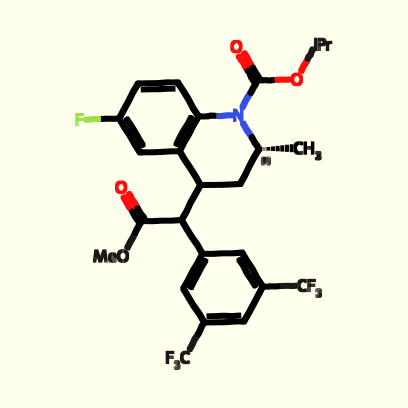 COC(=O)C(c1cc(C(F)(F)F)cc(C(F)(F)F)c1)C1C[C@@H](C)N(C(=O)OC(C)C)c2ccc(F)cc21